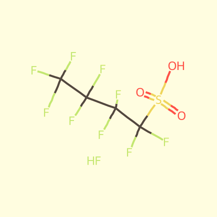 F.O=S(=O)(O)C(F)(F)C(F)(F)C(F)(F)C(F)(F)F